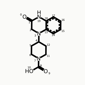 O=C1CN(C2CCN(C(=O)O)CC2)c2ccccc2N1